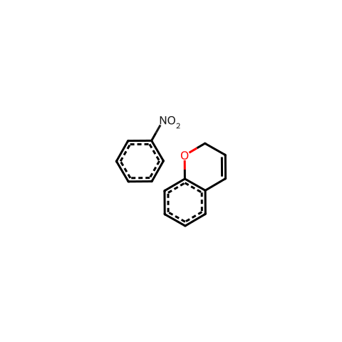 C1=Cc2ccccc2OC1.O=[N+]([O-])c1ccccc1